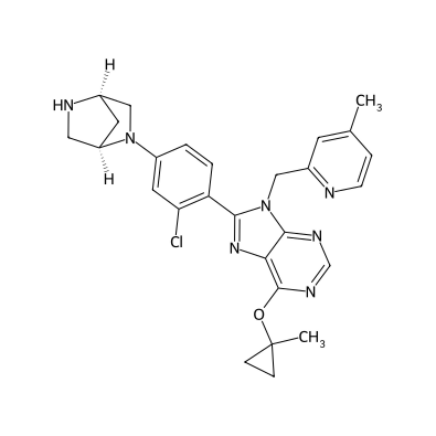 Cc1ccnc(Cn2c(-c3ccc(N4C[C@H]5C[C@@H]4CN5)cc3Cl)nc3c(OC4(C)CC4)ncnc32)c1